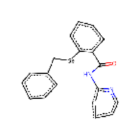 O=C(Nc1ccccn1)c1ccccc1[Se]Cc1ccccc1